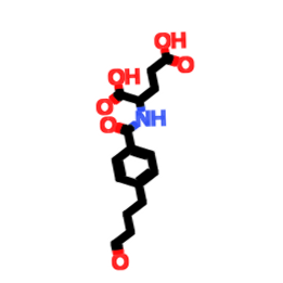 O=CCCCc1ccc(C(=O)NC(CCC(=O)O)C(=O)O)cc1